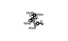 C=CC(=O)N1CCC(N(CCOC)CCn2c(=O)c(-c3c(Cl)c(OC)cc(OC)c3Cl)cc3cnc(NC)cc32)CC1